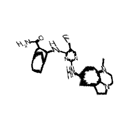 CN1CCN2CCc3cc(Nc4ncc(F)c(NC5C6C=CC(C6)C5C(N)=O)n4)cc1c32